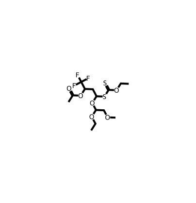 CCOC(=S)SC(CC(OC(C)=O)C(F)(F)F)OC(COC)OCC